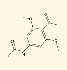 COc1cc(NC(C)=O)cc(OC)c1C(C)=O